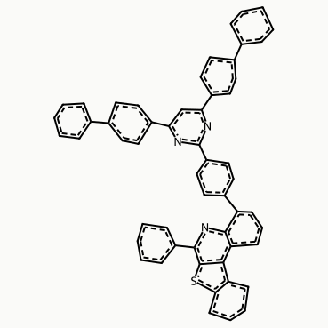 c1ccc(-c2ccc(-c3cc(-c4ccc(-c5ccccc5)cc4)nc(-c4ccc(-c5cccc6c5nc(-c5ccccc5)c5sc7ccccc7c56)cc4)n3)cc2)cc1